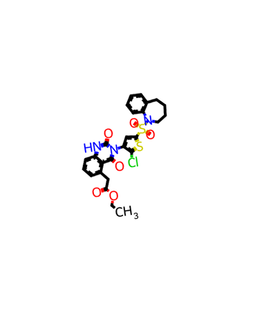 CCOC(=O)Cc1cccc2[nH]c(=O)n(-c3cc(S(=O)(=O)N4CCCCc5ccccc54)sc3Cl)c(=O)c12